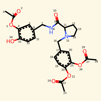 CC(=O)Oc1cc(CNC(=O)C2CCCN2Cc2ccc(OC(C)=O)c(OC(C)=O)c2)ccc1O